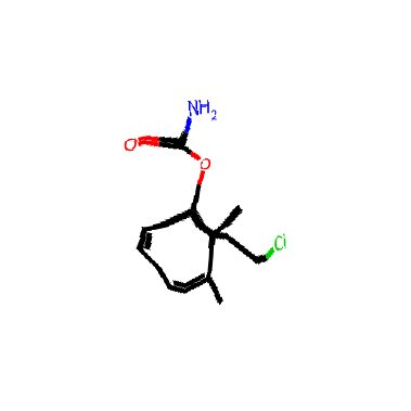 CC1=CC=CC(OC(N)=O)C1(C)CCl